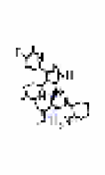 C=C(/C=C(\C=N/C)C(=C/C)/CC1NC(C2CNN=C2c2ccc(F)c(C)n2)CCC1C)[C@@H]1CCCC[C@H]1N